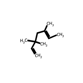 C=CC(C)(C)CC(C)=CC